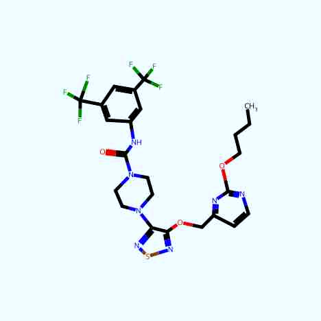 CCCCOc1nccc(COc2nsnc2N2CCN(C(=O)Nc3cc(C(F)(F)F)cc(C(F)(F)F)c3)CC2)n1